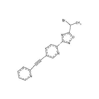 CC(Br)c1nc(-c2ccc(C#Cc3ccccn3)cn2)no1